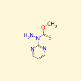 COC(=S)N(N)c1ncccn1